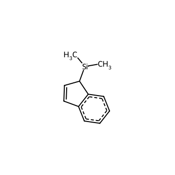 C[Si](C)C1C=Cc2ccccc21